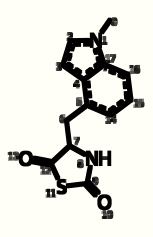 Cn1ccc2c(CC3NC(=O)SC3=O)cccc21